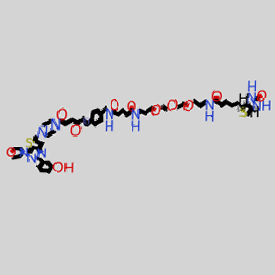 O=C(/C=C/c1ccc(CNC(=O)CCCC(=O)NCCCOCCOCCOCCCNC(=O)CCCC[C@@H]2SC[C@@H]3NC(=O)N[C@@H]32)cc1)CCC(=O)N1CCN(Cc2cc3nc(-c4cccc(O)c4)nc(N4CCOCC4)c3s2)CC1